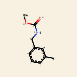 [CH2]c1cccc(CNC(=O)OC(C)(C)C)c1